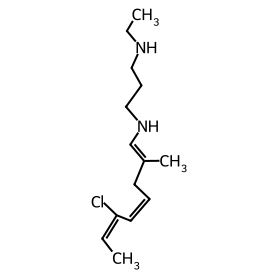 C/C=C(Cl)\C=C/C/C(C)=C/NCCCNCC